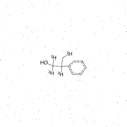 [2H]CC([2H])(c1ccccc1)C([2H])([2H])O